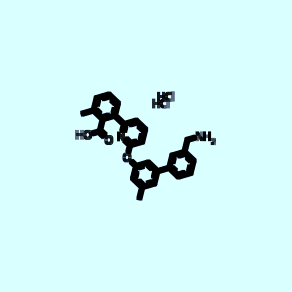 Cc1cc(Oc2cccc(-c3cccc(C)c3C(=O)O)n2)cc(-c2cccc(CN)c2)c1.Cl.Cl